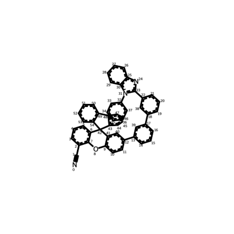 N#Cc1cccc2c1Oc1ccc(-c3cccc(-c4cccc(-c5nc6ccccc6n5-c5ccccc5)c4)c3)cc1C21c2ccccc2-c2ccccc21